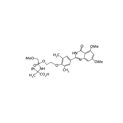 COCP(=O)(NC(C)(C(=O)O)C(C)C)OCCOc1c(C)cc(-c2nc3cc(OC)cc(OC)c3c(=O)[nH]2)cc1C